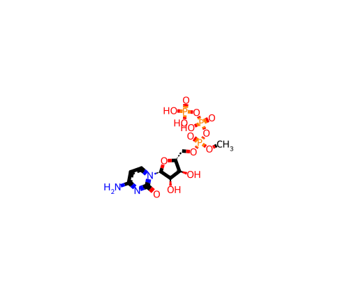 COP(=O)(OC[C@H]1O[C@@H](n2ccc(N)nc2=O)[C@H](O)[C@@H]1O)OP(=O)(O)OP(=O)(O)O